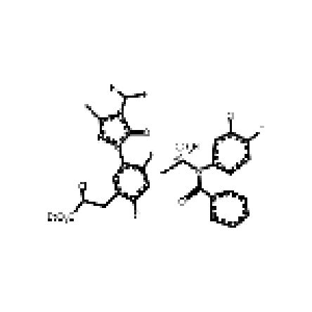 CCOC(=O)C(Cl)Cc1cc(-n2nc(C)n(C(F)F)c2=O)c(F)cc1Cl.C[C@H](C(=O)O)N(C(=O)c1ccccc1)c1ccc(F)c(Cl)c1